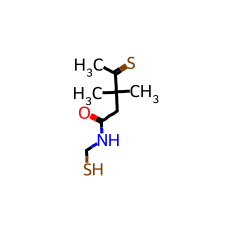 CC(=S)C(C)(C)CC(=O)NCS